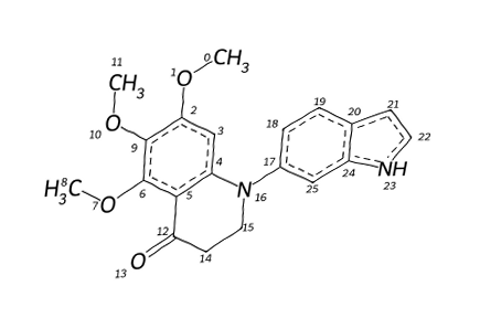 COc1cc2c(c(OC)c1OC)C(=O)CCN2c1ccc2cc[nH]c2c1